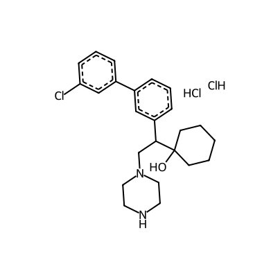 Cl.Cl.OC1(C(CN2CCNCC2)c2cccc(-c3cccc(Cl)c3)c2)CCCCC1